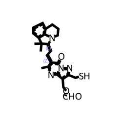 Cc1nc2c(COC=O)c(CS)nn2c(=O)/c1=C\C=C1\N2CCCc3cccc(c32)C1(C)C